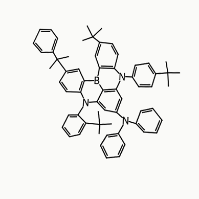 CC(C)(C)c1ccc(N2c3ccc(C(C)(C)C)cc3B3c4cc(C(C)(C)c5ccccc5)ccc4N(c4ccccc4C(C)(C)C)c4cc(N(c5ccccc5)c5ccccc5)cc2c43)cc1